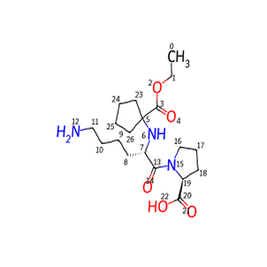 CCOC(=O)C1(N[C@@H](CCCCN)C(=O)N2CCC[C@H]2C(=O)O)CCCC1